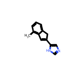 Cc1cccc2c1C=C(c1cnc[nH]1)C2